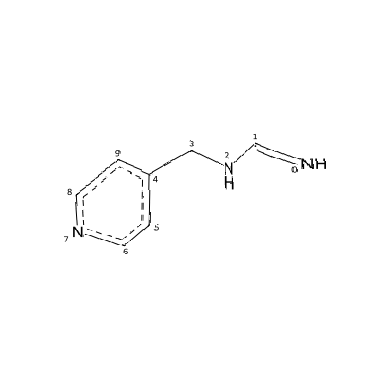 N=[C]NCc1ccncc1